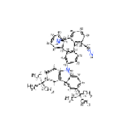 CC(C)(C)c1ccc2c(c1)c1cc(C(C)(C)C)ccc1n2-c1ccc(-c2c(C#N)cccc2C#N)c(-c2ccccc2)c1